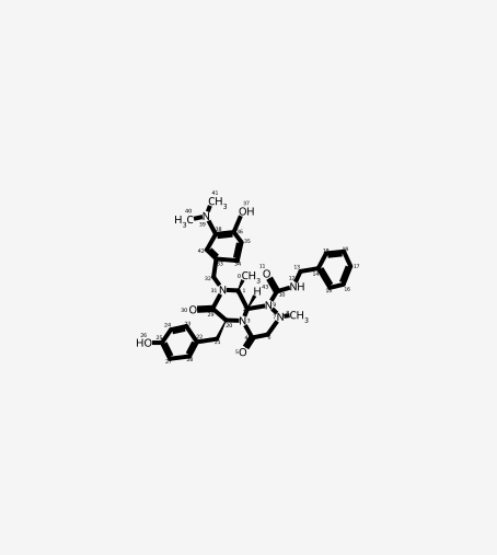 C[C@H]1[C@H]2N(C(=O)CN(C)N2C(=O)NCc2ccccc2)[C@@H](Cc2ccc(O)cc2)C(=O)N1Cc1ccc(O)c(N(C)C)c1